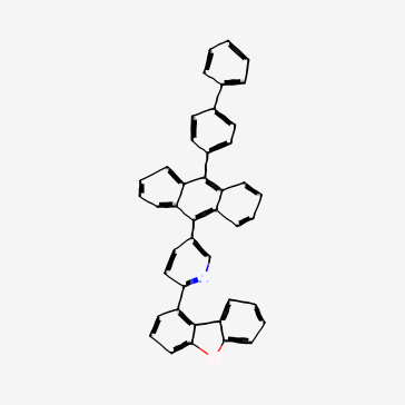 c1ccc(-c2ccc(-c3c4ccccc4c(-c4ccc(-c5cccc6oc7ccccc7c56)nc4)c4ccccc34)cc2)cc1